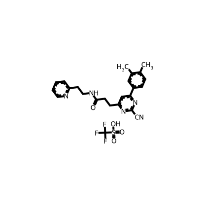 Cc1ccc(-c2cc(CCC(=O)NCCc3ccccn3)nc(C#N)n2)cc1C.O=S(=O)(O)C(F)(F)F